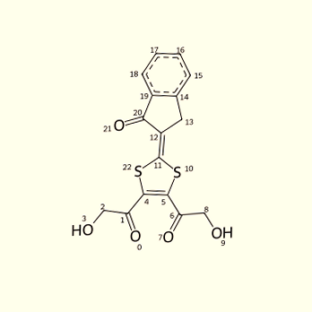 O=C(CO)C1=C(C(=O)CO)SC(=C2Cc3ccccc3C2=O)S1